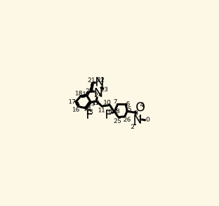 CN(C)C(=O)C1CCC(F)(CCC2c3c(F)cccc3-c3cncn32)CC1